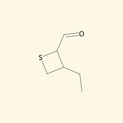 CCC1CSC1C=O